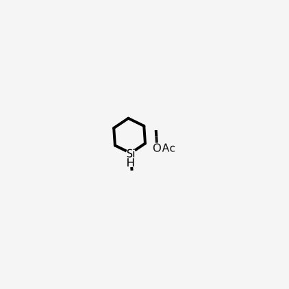 COC(C)=O.C[SiH]1CCCCC1